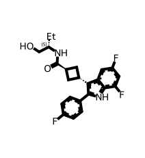 CC[C@@H](CO)NC(=O)[C@H]1C[C@H](c2c(-c3ccc(F)cc3)[nH]c3c(F)cc(F)cc32)C1